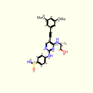 COc1cc(C#Cc2cnc(Nc3ccc([SH](=N)=O)cc3)nc2N[C@H](C)CO)cc(OC)c1